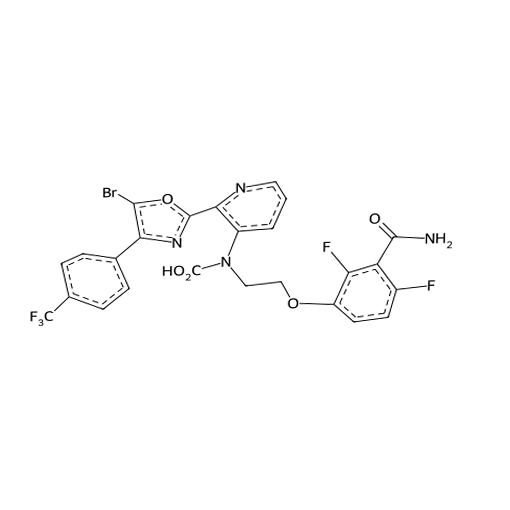 NC(=O)c1c(F)ccc(OCCN(C(=O)O)c2cccnc2-c2nc(-c3ccc(C(F)(F)F)cc3)c(Br)o2)c1F